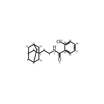 O=C(NCCC12CC3CC(CC(C3)C1)C2)c1ccccc1Cl